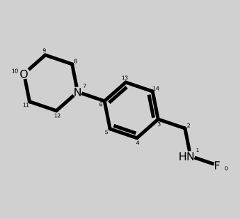 FNCc1ccc(N2CCOCC2)cc1